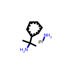 CC(C)(N)c1ccccc1.CC(C)N